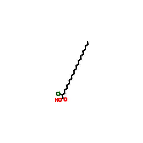 CCCCCCCCCCCCCCCCCCCCCCC(Cl)C(=O)O